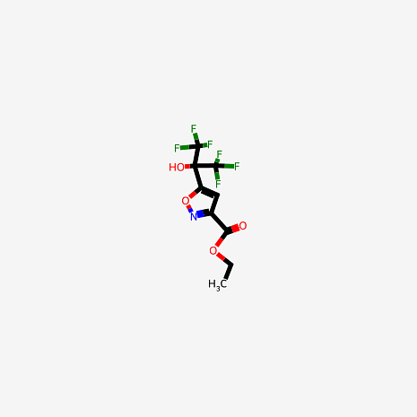 CCOC(=O)c1cc(C(O)(C(F)(F)F)C(F)(F)F)on1